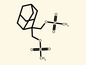 CS(=O)(=O)OCC1(COS(C)(=O)=O)C2CC3CC(C2)CC1C3